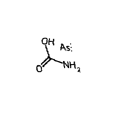 NC(=O)O.[As]